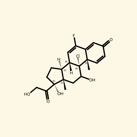 C[C@]12C=CC(=O)C=C1C(F)=C[C@H]1[C@@H]3CC[C@](O)(C(=O)CO)[C@@]3(C)CC(O)[C@@]12Cl